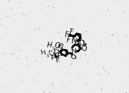 COc1cc(C(=O)N2CC[C@]3(c4cccc(C(F)(F)F)n4)OCOC3C2)ccc1OC(C)C(F)(F)F